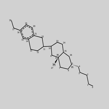 CCCCC[C@@H]1CC[C@@H]2CC(C3CCc4cc(CC)ccc4C3)CCC2C1